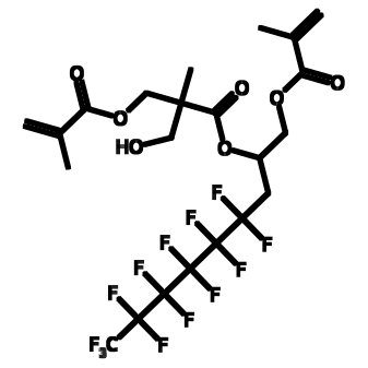 C=C(C)C(=O)OCC(CC(F)(F)C(F)(F)C(F)(F)C(F)(F)C(F)(F)C(F)(F)F)OC(=O)C(C)(CO)COC(=O)C(=C)C